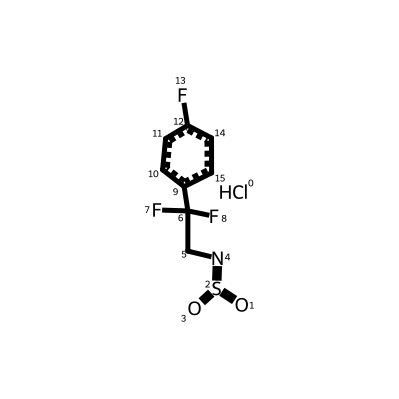 Cl.O=S(=O)=NCC(F)(F)c1ccc(F)cc1